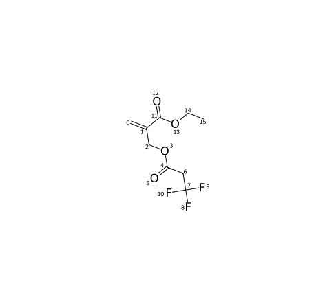 C=C(COC(=O)CC(F)(F)F)C(=O)OCC